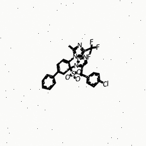 Cc1nc(C(F)(F)F)cn1C1=CC=C(c2ccccc2)CC1(n1nncc1C(=O)c1ccc(Cl)cc1)S(C)(=O)=O